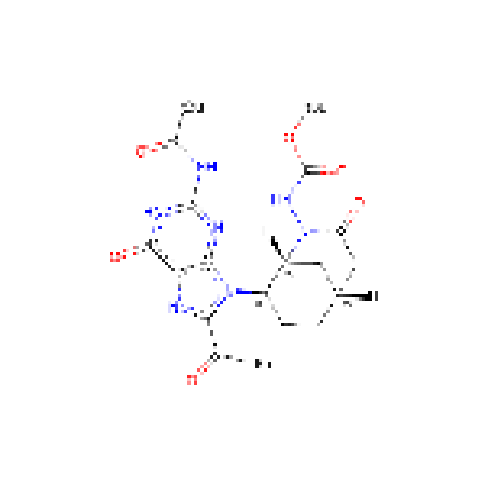 CC(C)(C)OC(=O)NN1C(=O)C[C@@H]2CC[C@@H](n3c(C(=O)C(C)(C)C)nc4c(=O)[nH]c(NC(=O)C(C)(C)C)nc43)[C@H]1C2